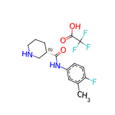 Cc1cc(NC(=O)[C@H]2CCCNC2)ccc1F.O=C(O)C(F)(F)F